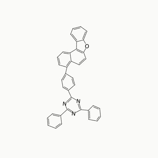 c1ccc(-c2nc(-c3ccccc3)nc(-c3ccc(-c4cccc5c4ccc4oc6ccccc6c45)cc3)n2)cc1